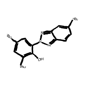 CCCCc1ccc2nn(-c3cc(C(C)CC)cc(C(C)CC)c3O)nc2c1